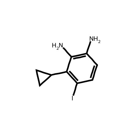 Nc1ccc(I)c(C2CC2)c1N